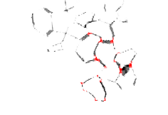 CC1(C)c2ccccc2C2(c3ccccc3-c3cc(N(c4ccccc4-c4ccccc4-c4ccccc4-c4ccccc4)c4ccccc4-c4cccc5c4oc4ccccc45)ccc32)c2ccccc21